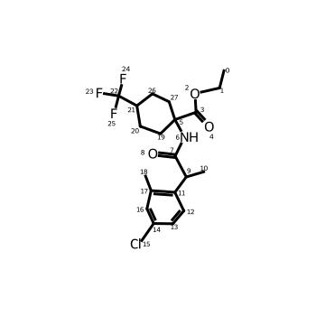 CCOC(=O)C1(NC(=O)C(C)c2ccc(Cl)cc2C)CCC(C(F)(F)F)CC1